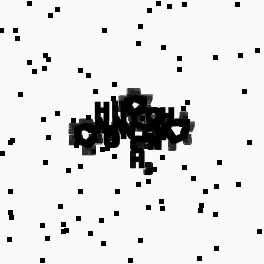 Cc1nn(-c2ccccc2)c(O)c1/C(=N/NC(=O)Nc1ccccc1)c1ccccc1